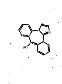 OC1=C2C=CC=CC2c2nccn2-c2ccccc21